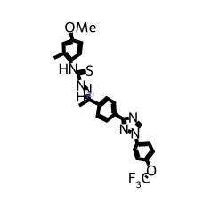 COc1ccc(NC(=S)N/N=C(\C)c2ccc(-c3ncn(-c4ccc(OC(F)(F)F)cc4)n3)cc2)c(C)c1